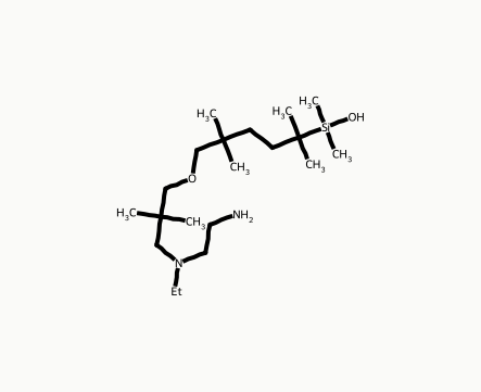 CCN(CCN)CC(C)(C)COCC(C)(C)CCC(C)(C)[Si](C)(C)O